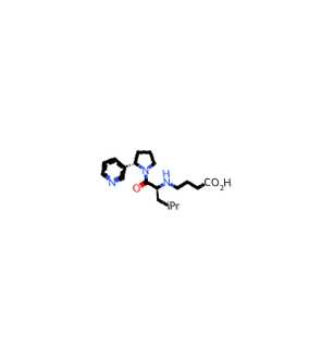 CC(C)C[C@H](NCCCC(=O)O)C(=O)N1CCC[C@H]1c1cccnc1